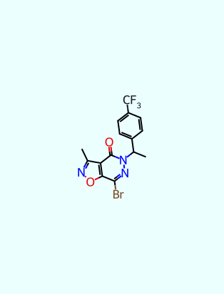 Cc1noc2c(Br)nn(C(C)c3ccc(C(F)(F)F)cc3)c(=O)c12